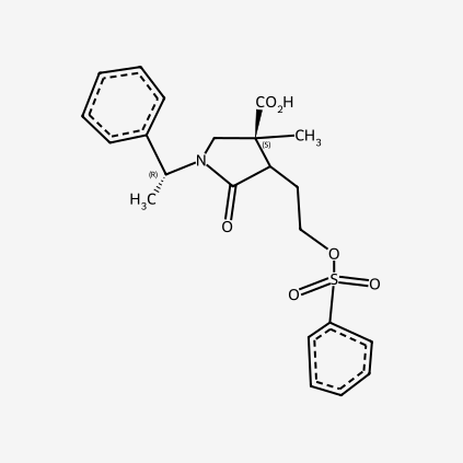 C[C@H](c1ccccc1)N1C[C@@](C)(C(=O)O)C(CCOS(=O)(=O)c2ccccc2)C1=O